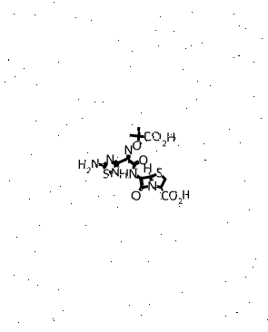 CC(C)(O/N=C(\C(=O)NC1C(=O)N2[C@@H]1SC[C@H]2C(=O)O)c1nsc(N)n1)C(=O)O